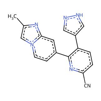 Cc1cn2ccc(-c3nc(C#N)ccc3-c3cn[nH]c3)cc2n1